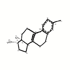 CC[C@]12CCC3=C(CCc4cc(C)ccc43)C1CC[C@@H]2O